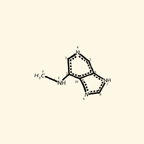 CNc1cncc2[nH]cnc12